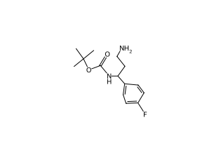 CC(C)(C)OC(=O)NC(CCN)c1ccc(F)cc1